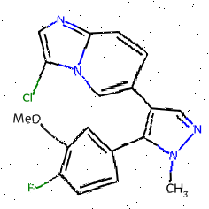 COc1cc(-c2c(-c3ccc4ncc(Cl)n4c3)cnn2C)ccc1F